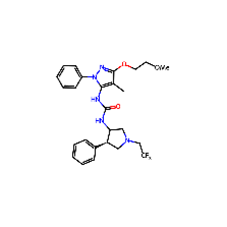 COCCOc1nn(-c2ccccc2)c(NC(=O)NC2CN(CC(F)(F)F)C[C@H]2c2ccccc2)c1C